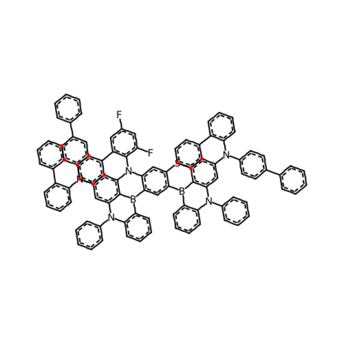 Fc1cc(F)c(N2c3cc4c(cc3B3c5ccccc5N(c5ccccc5)c5cc(N(c6ccc(-c7ccccc7)cc6)c6ccccc6-c6ccccc6)cc2c53)B2c3ccccc3N(c3ccccc3)c3cc(N(c5ccc(-c6ccccc6)cc5)c5ccccc5-c5ccccc5)cc(c32)S4)c(-c2ccccc2)c1